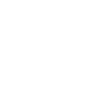 C=C(C)C(=O)OCCCc1ccc(-c2ccc(-c3ccc(CCCO)cc3CC)c(F)c2)cc1